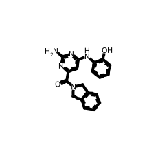 Nc1nc(Nc2ccccc2O)cc(C(=O)N2Cc3ccccc3C2)n1